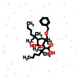 CCCCC(C)(C)C(CC(C)(COCc1ccccc1)CC(C(=O)O)C(C)(C)CCCC)C(=O)O